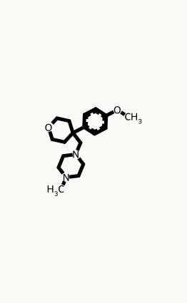 COc1ccc(C2(CN3CCN(C)CC3)CCOCC2)cc1